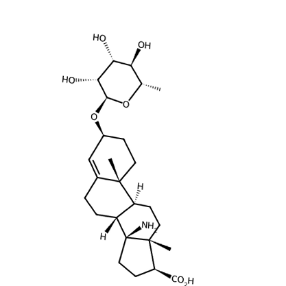 C[C@@H]1O[C@@H](O[C@@H]2C=C3CC[C@@H]4[C@H](CC[C@]5(C)[C@@H](C(=O)O)CC[C@]45N)[C@@]3(C)CC2)[C@H](O)[C@H](O)[C@H]1O